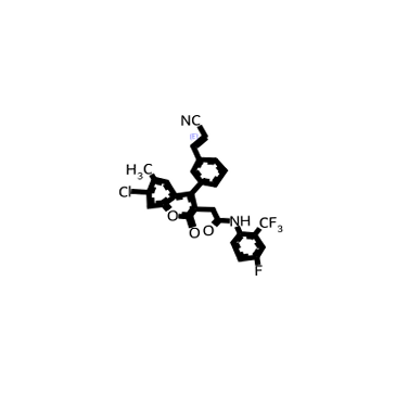 Cc1cc2c(-c3cccc(/C=C/C#N)c3)c(CC(=O)Nc3ccc(F)cc3C(F)(F)F)c(=O)oc2cc1Cl